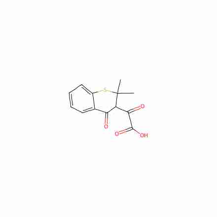 CC1(C)Sc2ccccc2C(=O)C1C(=O)C(=O)O